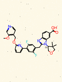 COc1cnccc1COc1cccc(-c2cc(F)c(Cc3nc4ccc(C(=O)O)cc4n3[C@@H]3COCC3(C)C)cc2F)n1